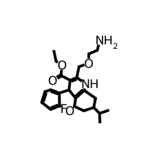 CCOC(=O)C1=C(COCCN)NC2=C(C(=O)CC(C(C)C)C2)C1c1ccccc1F